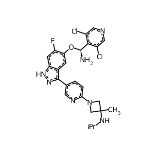 CC(C)NC1(C)CN(c2ccc(-c3n[nH]c4cc(F)c(O[C@H](N)c5c(Cl)cncc5Cl)cc34)cn2)C1